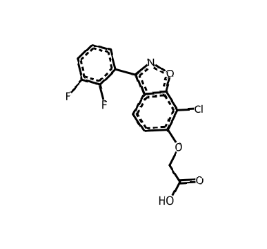 O=C(O)COc1ccc2c(-c3cccc(F)c3F)noc2c1Cl